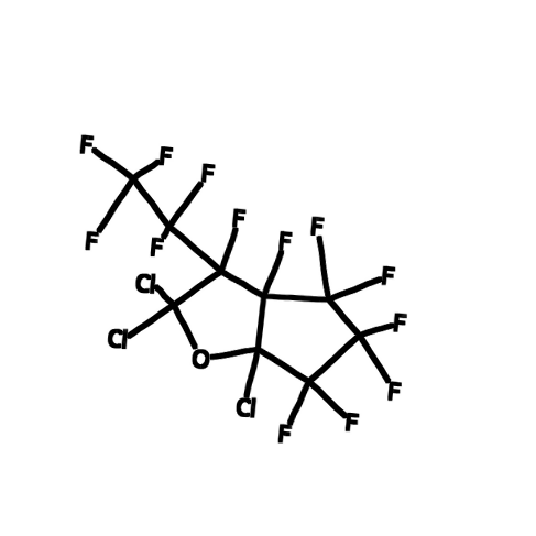 FC(F)(F)C(F)(F)C1(F)C(Cl)(Cl)OC2(Cl)C(F)(F)C(F)(F)C(F)(F)C21F